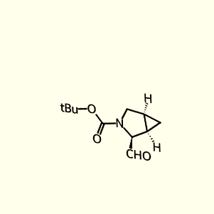 CC(C)(C)OC(=O)N1C[C@H]2C[C@H]2[C@H]1C=O